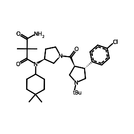 CC1(C)CCC(N(C(=O)C(C)(C)C(N)=O)[C@H]2CCN(C(=O)[C@@H]3CN(C(C)(C)C)C[C@H]3c3ccc(Cl)cc3)C2)CC1